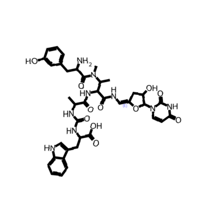 CC(NC(=O)NC(Cc1c[nH]c2ccccc12)C(=O)O)C(=O)NC(C(=O)N/C=C1\CC(O)C(n2ccc(=O)[nH]c2=O)O1)C(C)N(C)C(=O)C(N)Cc1cccc(O)c1